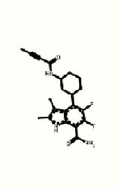 CC#CC(=O)NC1CCCC(c2c(F)c(F)c(C(N)=O)c3[nH]c(C)c(C)c23)C1